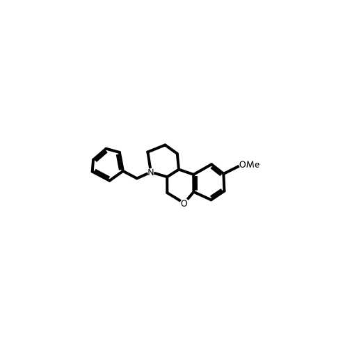 COc1ccc2c(c1)C1CCCN(Cc3ccccc3)C1CO2